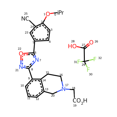 CC(C)Oc1ccc(-c2nc(-c3cccc4c3CCN(CC(=O)O)C4)no2)cc1C#N.O=C(O)C(F)(F)F